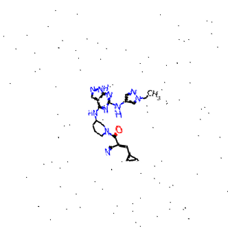 CCn1cc(Nc2nc(N[C@@H]3CCCN(C(=O)/C(C#N)=C/C4CC4)C3)c3cn[nH]c3n2)cn1